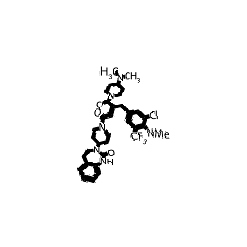 CNc1c(Cl)cc(CC(CC(=O)N2CCC(N3CCc4ccccc4NC3=O)CC2)C(=O)N2CCC(N(C)C)CC2)cc1C(F)(F)F